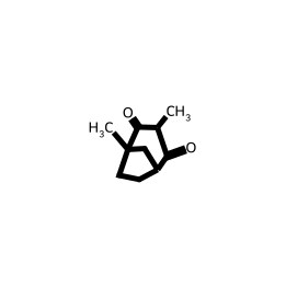 CC1C(=O)C2CCC(C)(C2)C1=O